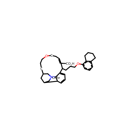 CO[N+]12CC3CCCOCC/C=C(/C(=O)O)C(CCCOc4cccc5c4CCCC5)C4=CC=CC(C(C3)C1)C42